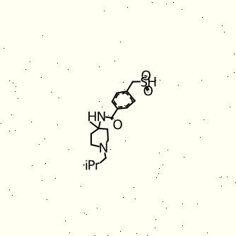 C[C](C)CN1CCC(C)(NC(=O)c2ccc(C[SH](=O)=O)cc2)CC1